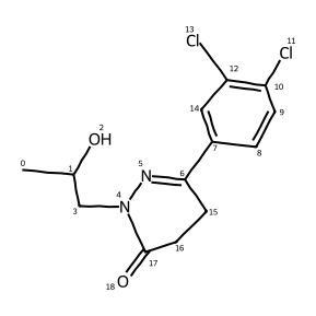 CC(O)CN1N=C(c2ccc(Cl)c(Cl)c2)CCC1=O